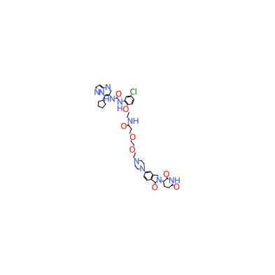 O=C(CCOCCOCCN1CCN(c2ccc3c(c2)CN(C2CCC(=O)NC2=O)C3=O)CC1)NCCOc1ccc(Cl)cc1NC(=O)Nc1cnc2ccnn2c1C1CCCC1